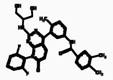 Cc1ccc(C(=O)Nc2ccc(C)c(-c3nc(NC(CO)CO)nc4c3ccc(=O)n4-c3c(F)cccc3F)c2)cc1C